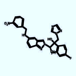 C[C@@H](n1cc2cc(NCc3cccc([N+](=O)[O-])c3)ccc2n1)[C@](O)(Cn1cncn1)c1ccc(F)cc1F